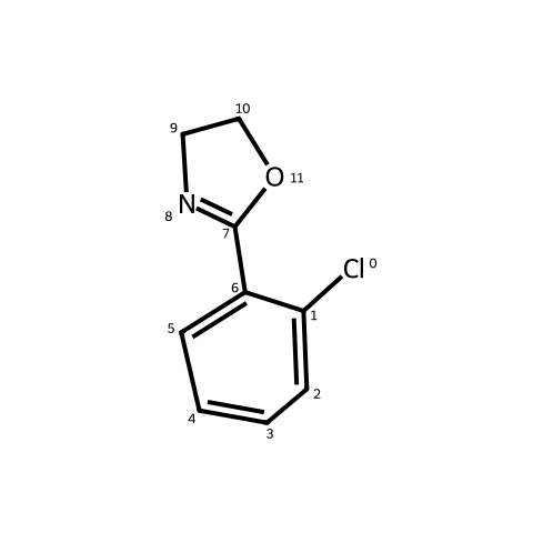 Clc1ccccc1C1=NCCO1